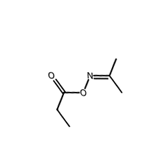 CCC(=O)ON=C(C)C